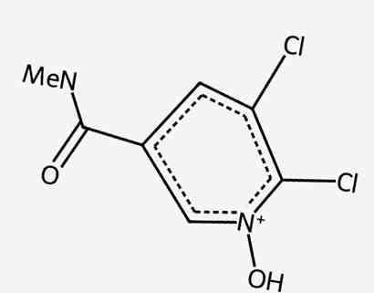 CNC(=O)c1cc(Cl)c(Cl)[n+](O)c1